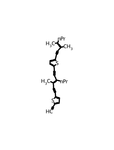 C#Cc1ccc(C#C/C(C)=C(/C#Cc2ccc(C#C/C(C)=C(\C)CCC)s2)CCC)s1